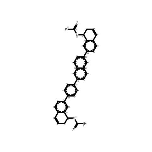 CC(C)C(=O)OC1CC=Cc2ccc(-c3ccc(-c4ccc5cc(-c6ccc7c(c6)C(OC(=O)C(C)C)CC=C7)ccc5c4)cc3)cc21